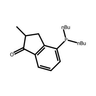 CCCCP(CCCC)c1cccc2c1CC(C)C2=O